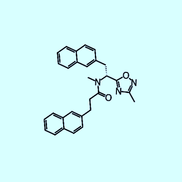 Cc1noc([C@@H](Cc2ccc3ccccc3c2)N(C)C(=O)CCc2ccc3ccccc3c2)n1